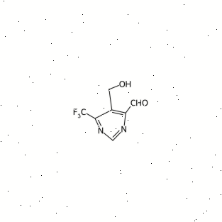 O=Cc1ncnc(C(F)(F)F)c1CO